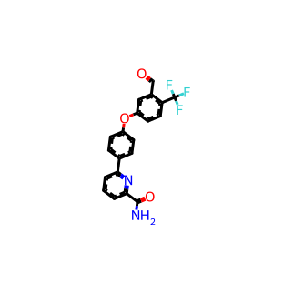 NC(=O)c1cccc(-c2ccc(Oc3ccc(C(F)(F)F)c(C=O)c3)cc2)n1